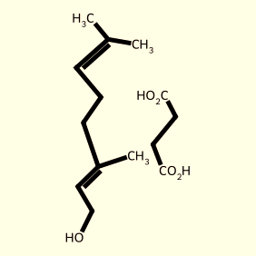 CC(C)=CCC/C(C)=C/CO.O=C(O)CCC(=O)O